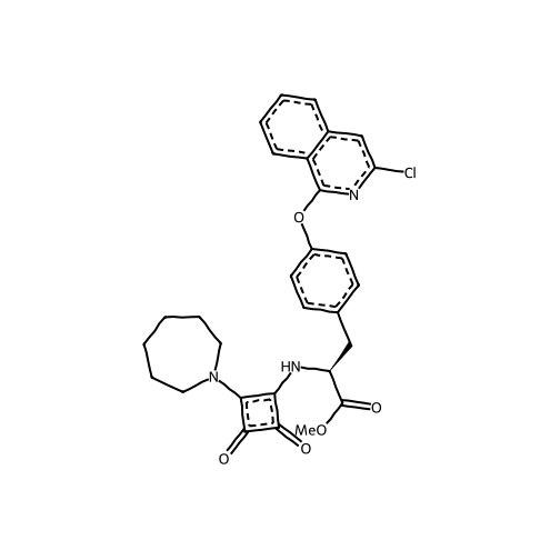 COC(=O)[C@H](Cc1ccc(Oc2nc(Cl)cc3ccccc23)cc1)Nc1c(N2CCCCCC2)c(=O)c1=O